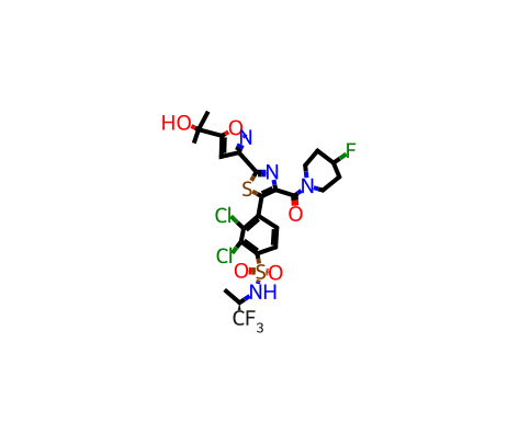 C[C@H](NS(=O)(=O)c1ccc(-c2sc(-c3cc(C(C)(C)O)on3)nc2C(=O)N2CCC(F)CC2)c(Cl)c1Cl)C(F)(F)F